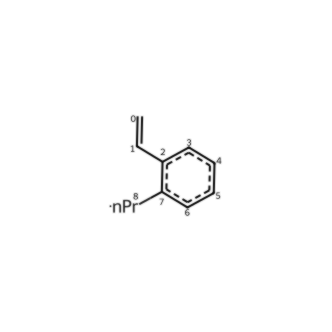 C=Cc1ccccc1[CH]CC